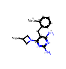 CNC1CN(c2nc(N)nc(N)c2Cc2ccccc2OC)C1